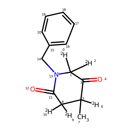 [2H]C1([2H])C(=O)C([2H])(C)C([2H])([2H])C(=O)N1Cc1ccccc1